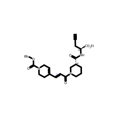 C#CC[C@H](NC(=O)[C@@H]1CCCN(C(=O)/C=C/C2=CCN(C(=O)OC(C)(C)C)CC2)C1)C(=O)OCC